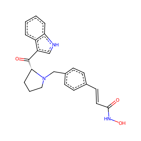 O=C(C=Cc1ccc(CN2CCC[C@@H]2C(=O)c2c[nH]c3ccccc23)cc1)NO